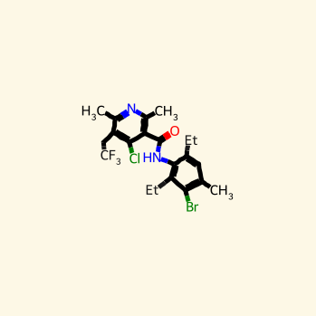 CCc1cc(C)c(Br)c(CC)c1NC(=O)c1c(C)nc(C)c(CC(F)(F)F)c1Cl